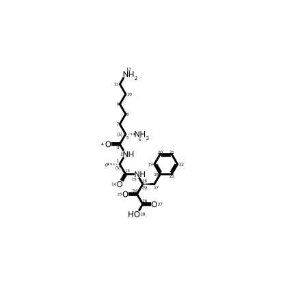 C[C@H](NC(=O)[C@@H](N)CCCCCN)C(=O)N[C@@H](Cc1ccccc1)C(=O)C(=O)O